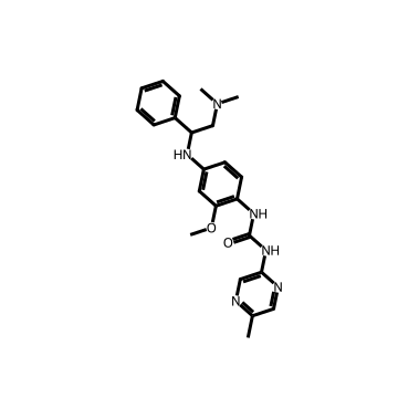 COc1cc(NC(CN(C)C)c2ccccc2)ccc1NC(=O)Nc1cnc(C)cn1